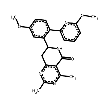 COc1ccc(-c2cccc(OC)n2)c(C2Cc3nc(N)nc(C)c3C(=O)N2)c1